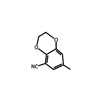 Cc1cc(C#N)c2c(c1)OCCO2